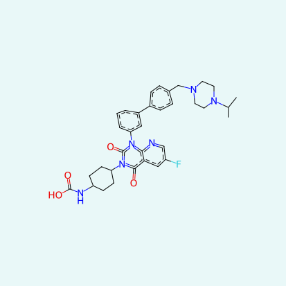 CC(C)N1CCN(Cc2ccc(-c3cccc(-n4c(=O)n(C5CCC(NC(=O)O)CC5)c(=O)c5cc(F)cnc54)c3)cc2)CC1